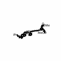 COC(=O)C(C)(C)Cc1cc(CCCCCCCCCCCOP(Oc2ccccc2C)OC2CCC3(C)C(=CCC4C3CCC3(C)C(C(C)CCCC(C)C)CCC43)C2)cc(CC(C)(C)C(=O)OC)c1